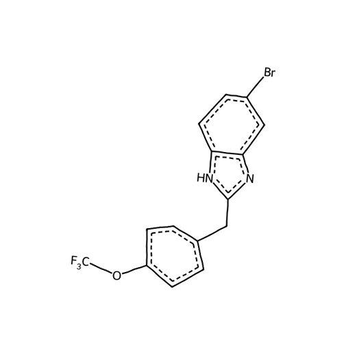 FC(F)(F)Oc1ccc(Cc2nc3cc(Br)ccc3[nH]2)cc1